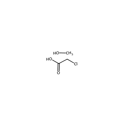 CO.O=C(O)CCl